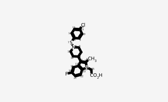 Cc1c(C2CCN(Sc3ccc(Cl)cc3)CC2)c2cc(F)ccc2n1CC(=O)O